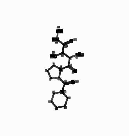 CCCCC(C(=O)N1CCCC1C(=O)N1CCCCC1)C(O)C(=O)NO